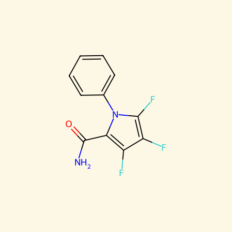 NC(=O)c1c(F)c(F)c(F)n1-c1ccccc1